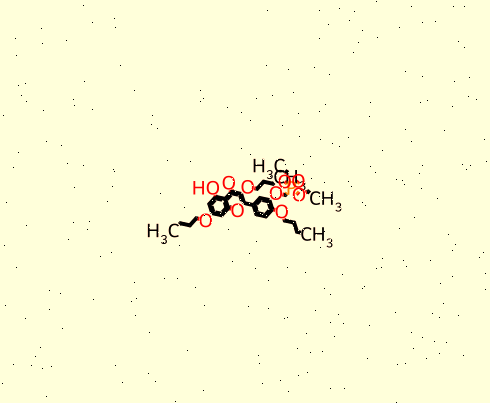 CCCCOc1cc(O)c2c(=O)c(OCCCC)c(-c3ccc(OCCCC)c(OCP(=O)(OCC)OCC)c3)oc2c1